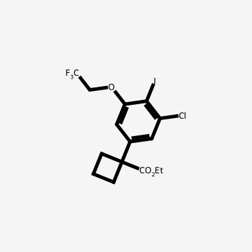 CCOC(=O)C1(c2cc(Cl)c(I)c(OCC(F)(F)F)c2)CCC1